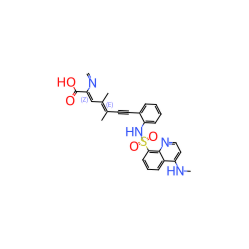 C=N/C(=C\C(C)=C(/C)C#Cc1ccccc1NS(=O)(=O)c1cccc2c(NC)ccnc12)C(=O)O